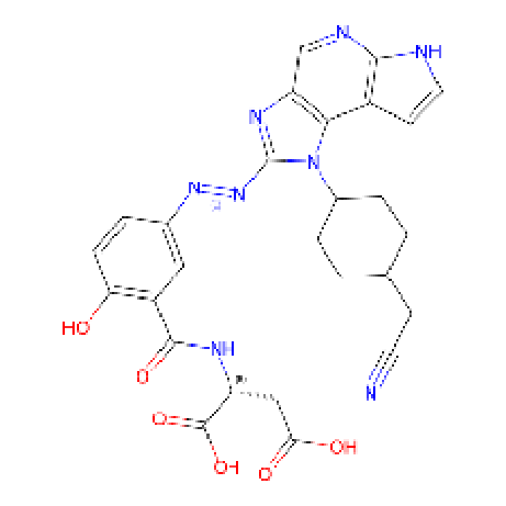 N#CCC1CCC(n2c(/N=N/c3ccc(O)c(C(=O)N[C@H](CC(=O)O)C(=O)O)c3)nc3cnc4[nH]ccc4c32)CC1